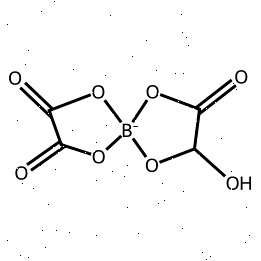 O=C1O[B-]2(OC1=O)OC(=O)C(O)O2